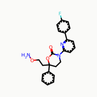 NOCCC1(c2ccccc2)CCN(c2cccc(-c3ccc(F)cc3)n2)C(=O)O1